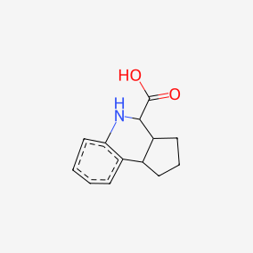 O=C(O)C1Nc2ccccc2C2CCCC12